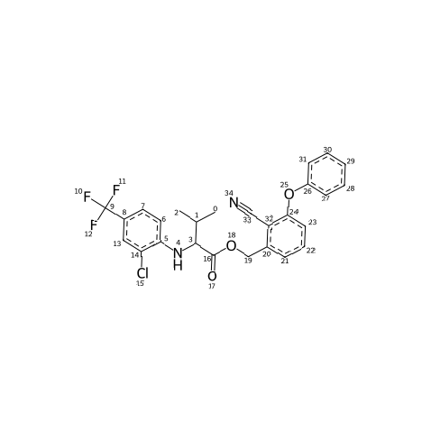 CC(C)C(Nc1ccc(C(F)(F)F)cc1Cl)C(=O)OCc1cccc(Oc2ccccc2)c1C#N